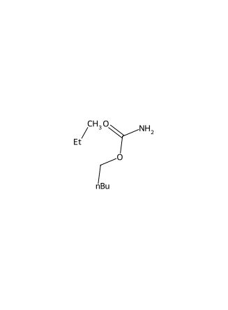 CCC.CCCCCOC(N)=O